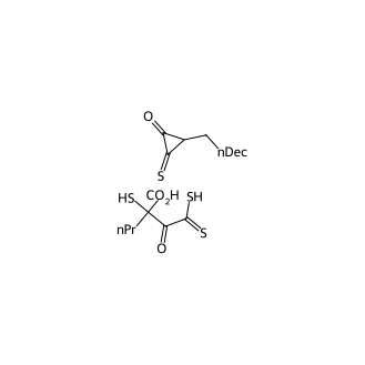 CCCC(S)(C(=O)O)C(=O)C(=S)S.CCCCCCCCCCCC1C(=O)C1=S